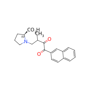 CC(CN1CCC[C@H]1C(=O)O)C(=O)C(=O)c1ccc2ccccc2c1